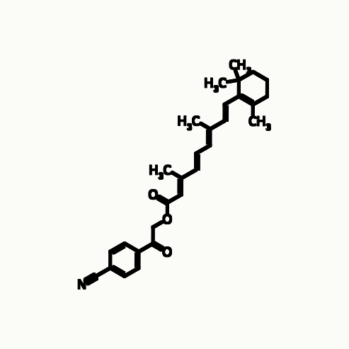 CC1=C(/C=C/C(C)=C/C=C/C(C)=C/C(=O)OCC(=O)c2ccc(C#N)cc2)C(C)(C)CCC1